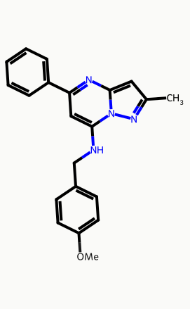 COc1ccc(CNc2cc(-c3ccccc3)nc3cc(C)nn23)cc1